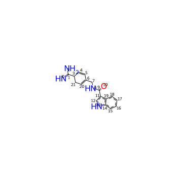 N=C(N)C1C=CC(CNC(=O)c2c[nH]c3ccccc23)=CC1